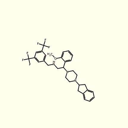 COc1ccccc1C(CNCc1cc(C(F)(F)F)cc(C(F)(F)F)c1)N1CCN(C2Cc3ccccc3C2)CC1